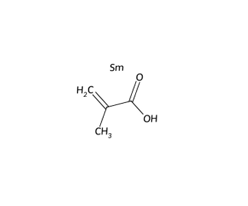 C=C(C)C(=O)O.[Sm]